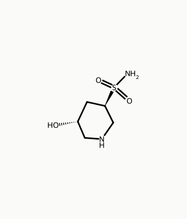 NS(=O)(=O)[C@H]1CNC[C@H](O)C1